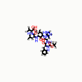 CC(C)CC(NC(=O)[C@H](Cc1c[nH]cn1)NC(=O)[C@H](Cc1ccccc1)NC(=O)OC(C)(C)C)C(O)CN[C@@H](CC(C)C)C(=O)N[C@H](C(=O)O)C(C)C